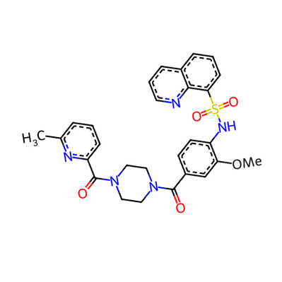 COc1cc(C(=O)N2CCN(C(=O)c3cccc(C)n3)CC2)ccc1NS(=O)(=O)c1cccc2cccnc12